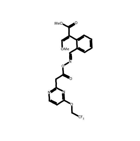 CO/C=C(/C(=O)OC)c1ccccc1/C=N/OC(=O)Cc1nccc(OCC(F)(F)F)n1